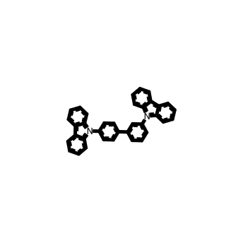 c1cc(-c2ccc(-n3c4ccccc4c4ccccc43)cc2)cc(-n2c3ccccc3c3ccccc32)c1